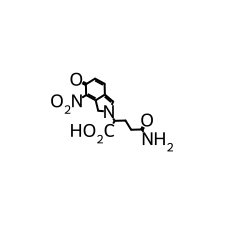 NC(=O)CCC(C(=O)O)N1C=C2C=CC(=O)C([N+](=O)[O-])=C2C1